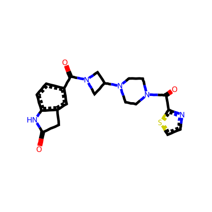 O=C1Cc2cc(C(=O)N3CC(N4CCN(C(=O)c5nccs5)CC4)C3)ccc2N1